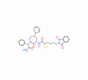 CNC(=O)C(c1ccccc1)N1CC[C@@H](C2C=CC=CC2)C[C@H](NC(=O)C(S)CCCCN2C(=O)c3ccccc3C2=O)C1=O